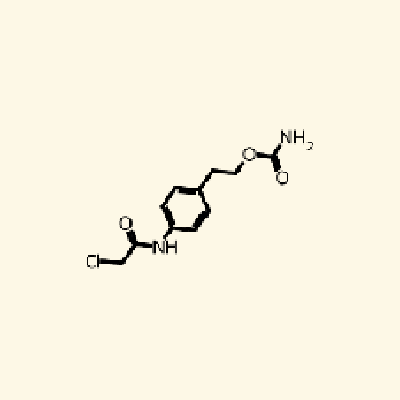 NC(=O)OCCc1ccc(NC(=O)CCl)cc1